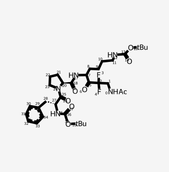 CC(=O)NCC(F)(F)C(=O)C(CCCCNC(=O)OC(C)(C)C)NC(=O)[C@@H]1CCCN1C(=O)[C@@H](Cc1ccccc1)NC(=O)OC(C)(C)C